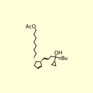 CCCCC(O)(C/C=C/[C@H]1C=CC[C@@H]1CCCCCCCCOC(C)=O)C1CC1